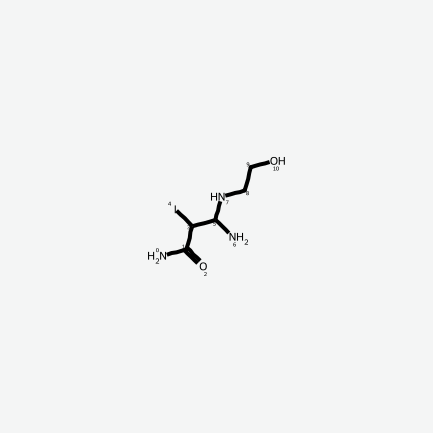 NC(=O)C(I)C(N)NCCO